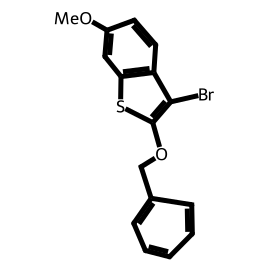 COc1ccc2c(Br)c(OCc3ccccc3)sc2c1